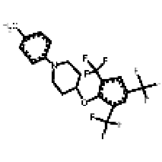 [CH2]c1ccc(N2CCC(Oc3c(C(F)(F)F)cc(C(F)(F)F)cc3C(F)(F)F)CC2)cc1